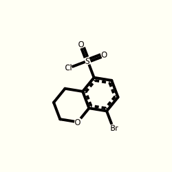 O=S(=O)(Cl)c1ccc(Br)c2c1CCCO2